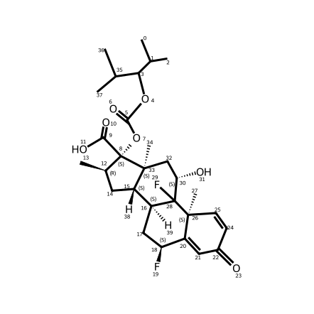 CC(C)C(OC(=O)O[C@@]1(C(=O)O)[C@H](C)C[C@H]2[C@@H]3C[C@H](F)C4=CC(=O)C=C[C@]4(C)C3(F)[C@@H](O)C[C@@]21C)C(C)C